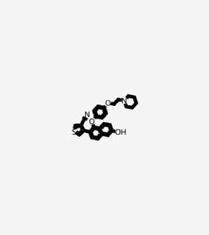 N#Cc1cscc1-c1ccc2cc(O)ccc2c1Oc1ccc(OCCN2CCCCC2)cc1